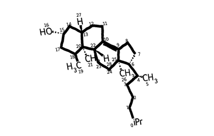 CC(C)CCC[C@@H](C)[C@H]1CCC2=C3CC[C@H]4C[C@@H](O)CC(C)[C@]4(C)[C@H]3CC[C@@]21C